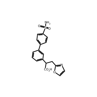 NS(=O)(=O)c1ccc(-c2cccc(C(Cc3ncco3)C(=O)O)c2)cc1